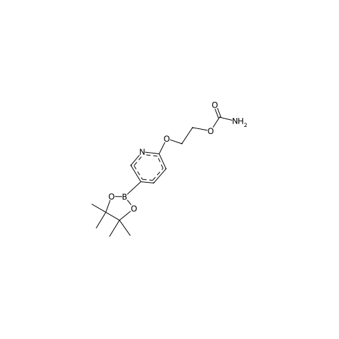 CC1(C)OB(c2ccc(OCCOC(N)=O)nc2)OC1(C)C